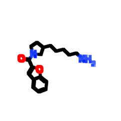 NCCCCCC1CCN(C(=O)c2cc3ccccc3o2)C1